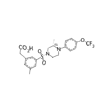 Cc1cc(CC(=O)O)cc(S(=O)(=O)N2CCN(c3ccc(OC(F)(F)F)cc3)[C@@H](C)C2)c1